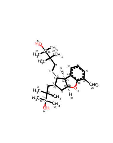 CC(C)(CC[C@H]1[C@H](CC(C)(C)[Si](C)(C)O)C[C@@H]2Oc3c(C=O)cccc3[C@H]12)[Si](C)(C)O